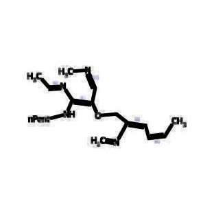 C=N/C(=C\C=C/C)COC(/C=N\C)=C(/N=C/C)NCCCCC